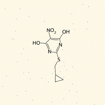 O=[N+]([O-])c1c(O)nc(SCC2CC2)nc1O